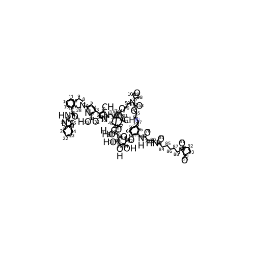 Cc1c(-c2ccc(N3CCc4cccc(C(=O)Nc5nc6ccccc6s5)c4C3)nc2C(=O)O)cnn1CC12CC3(C)CC(C)(C1)CC(OCCN(C(=O)OC/C=C/c1ccc(O[C@@H]4O[C@H](C(=O)O)[C@@H](O)[C@H](O)[C@H]4O)c(NC(=O)CCNC(=O)CCCCCN4C(=O)C=CC4=O)c1)C1COC1)(C3)C2